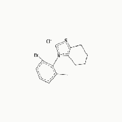 Cc1cccc(Br)c1-[n+]1csc2c1CCCC2.[Cl-]